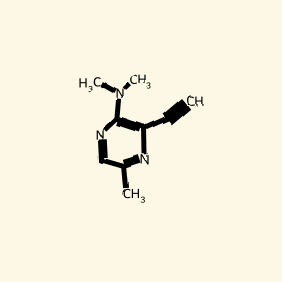 C#Cc1nc(C)cnc1N(C)C